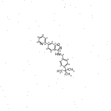 CC(C)(C)c1ccc(CNc2noc3cc(-c4ccccn4)ccc23)cc1